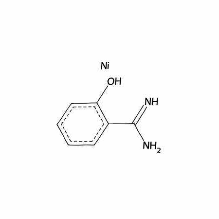 N=C(N)c1ccccc1O.[Ni]